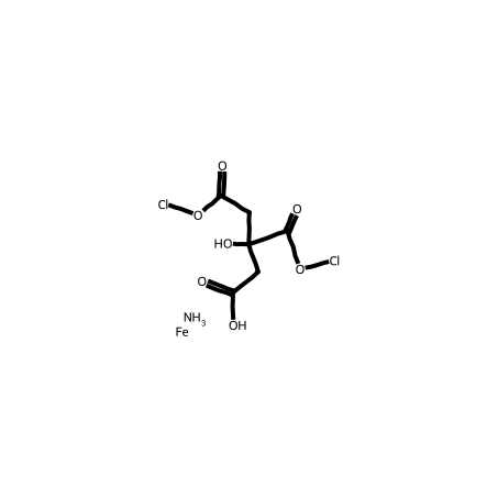 N.O=C(O)CC(O)(CC(=O)OCl)C(=O)OCl.[Fe]